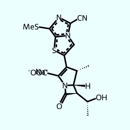 CSc1nc(C#N)n2cc(C3=C(C(=O)[O-])N4C(=O)[C@H]([C@@H](C)O)[C@H]4[C@H]3C)sc12.[Na+]